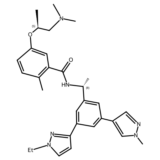 CCn1ccc(-c2cc(-c3cnn(C)c3)cc([C@@H](C)NC(=O)c3cc(O[C@@H](C)CN(C)C)ccc3C)c2)n1